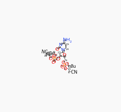 CCCCOP(=O)(OCCC#N)OCC1O[C@@H](n2ccc(N)nc2=O)C[C@@H]1OP(=O)(OCCC#N)OCCCC